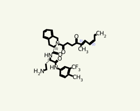 C=C/C=C\C=C(/C)C(=O)CCC(=O)N1Cc2ccccc2C[C@H]1C(=O)N[C@@H](CCN)C(=O)Nc1ccc(C)c(C(F)(F)F)c1